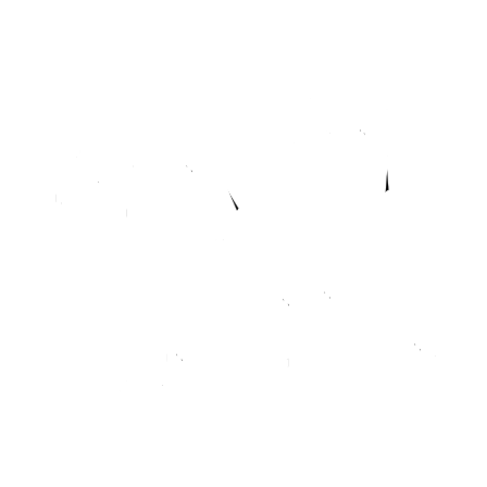 CC(=O)NCc1cc(OC[C@@H]2CCN2C(=O)OC(C)(C)C)cnc1Cl.CC(C)(C)OC(=O)N1CC[C@H]1COc1cnc(Cl)c(CN)c1